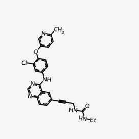 CCNC(=O)NCC#Cc1ccc2ncnc(Nc3ccc(Oc4ccc(C)nc4)c(Cl)c3)c2c1